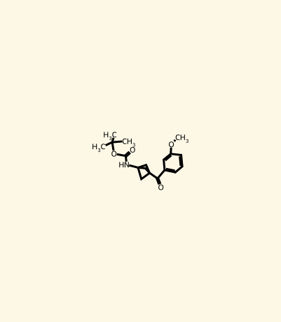 COc1cccc(C(=O)C23CC(NC(=O)OC(C)(C)C)(C2)C3)c1